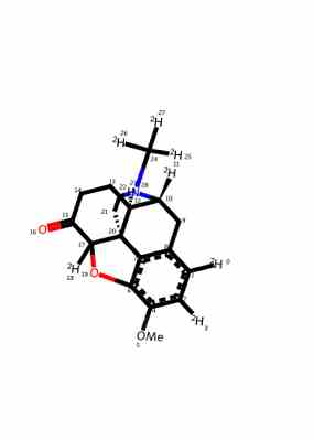 [2H]c1c([2H])c(OC)c2c3c1C[C@]1([2H])[C@@H]4CCC(=O)C([2H])(O2)[C@]34CCN1C([2H])([2H])[2H]